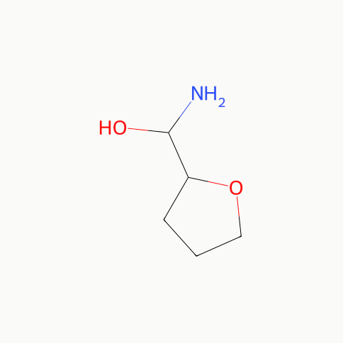 NC(O)C1CCCO1